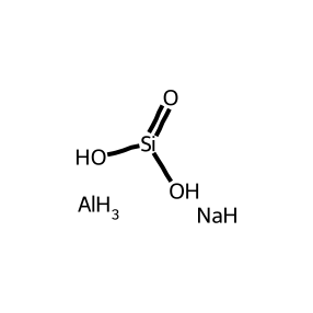 O=[Si](O)O.[AlH3].[NaH]